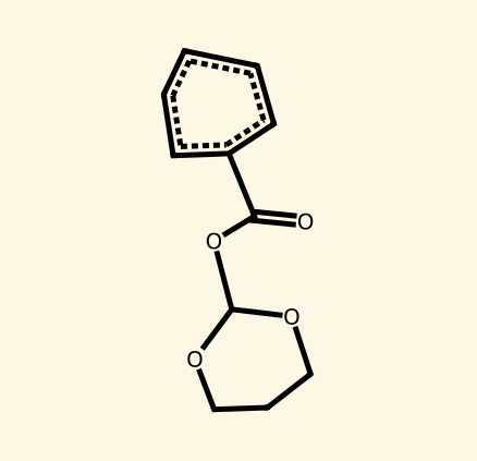 O=C(OC1OCCCO1)c1ccccc1